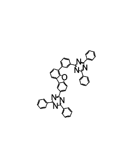 c1ccc(-c2nc(-c3ccccc3)nc(-c3cccc(-c4cccc5c4oc4ccc(-c6nc(-c7ccccc7)nc(-c7ccccc7)n6)cc45)c3)n2)cc1